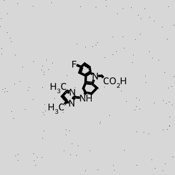 Cc1cc(C)nc(NC2CCc3c(c4cc(F)ccc4n3CC(=O)O)C2)n1